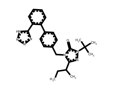 CCC(C)c1nn(C(C)(C)C)c(=O)n1Cc1ccc(-c2ccccc2-c2nnn[nH]2)cc1